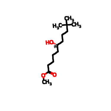 COC(=O)CCCC[C@H](O)CCCC(C)(C)C